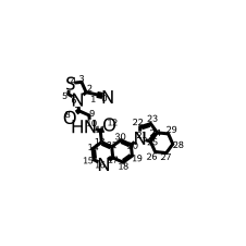 N#CC1CSCN1C(=O)CNC(=O)c1ccnc2ccc(-n3ccc4c3CCCC4)cc12